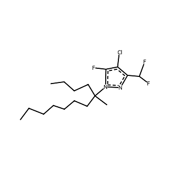 CCCCCCCC(C)(CCCC)n1nc(C(F)F)c(Cl)c1F